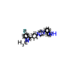 Cn1cc(C2CCC(N3CCN(c4cccc5[nH]ccc45)CC3)CC2)c2cc(F)ccc21